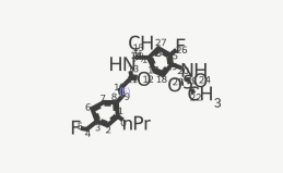 CCCc1cc(CF)ccc1/C=C/C(=O)N[C@H](C)c1ccc(NS(C)(=O)=O)c(F)c1